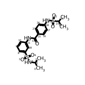 CC(C)NS(=O)(=O)c1cccc(NC(=O)c2ccc(NS(=O)(=O)C(C)C)cc2)c1